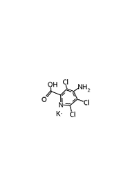 Nc1c(Cl)c(Cl)nc(C(=O)O)c1Cl.[K]